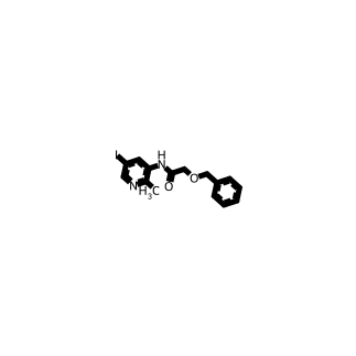 Cc1ncc(I)cc1NC(=O)COCc1ccccc1